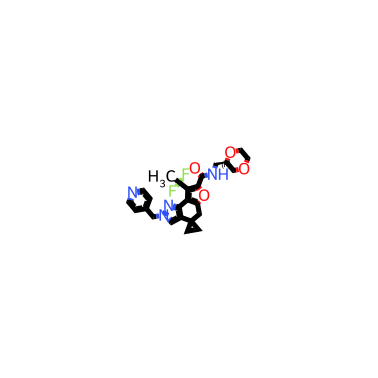 CC(F)(F)c1c(C(=O)NC[C@@H]2COCCO2)oc2c1-c1nn(Cc3ccncc3)cc1C1(CC1)C2